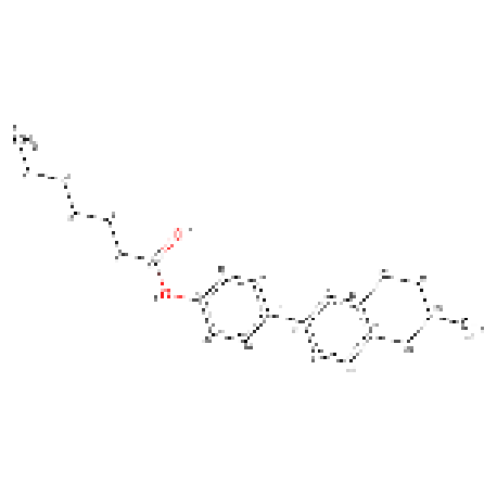 CCCCCCC(=O)Oc1ccc(-c2ccc3c(c2)CCC(C)C3)cc1